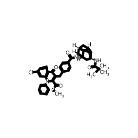 COC(=O)c1c(Cc2ccc(C(=O)N[C@H]3[C@@H]4C[C@H]5C[C@H]3C[C@](NC(=O)C(C)(C)C)(C5)C4)cc2)c(=O)c2ccc(Cl)cc2n1-c1ccccc1